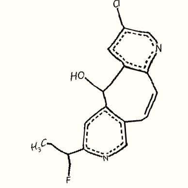 CC(F)c1cc2c(cn1)C=Cc1ncc(Cl)cc1C2O